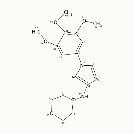 COc1cc(-n2cnc(NC3CCOCC3)c2)cc(OC)c1OC